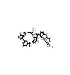 C[C@H]1CCOc2c(cnn2C)-c2nccc(n2)Nc2cc3c(cn2)c(-c2ccc(CN4CCN(C)CC4)n2C)nn31